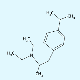 CCN(CC)C(C)Cc1ccc(C(C)C)cc1